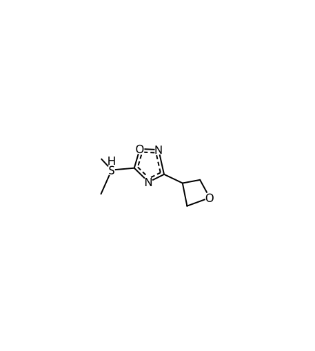 C[SH](C)c1nc(C2COC2)no1